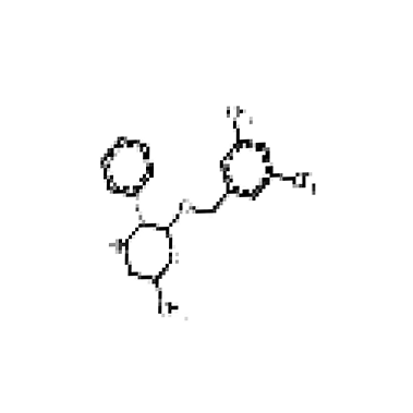 C[C@H]1CN[C@H](c2ccccc2)[C@@H](OCc2cc(C(F)(F)F)cc(C(F)(F)F)c2)O1